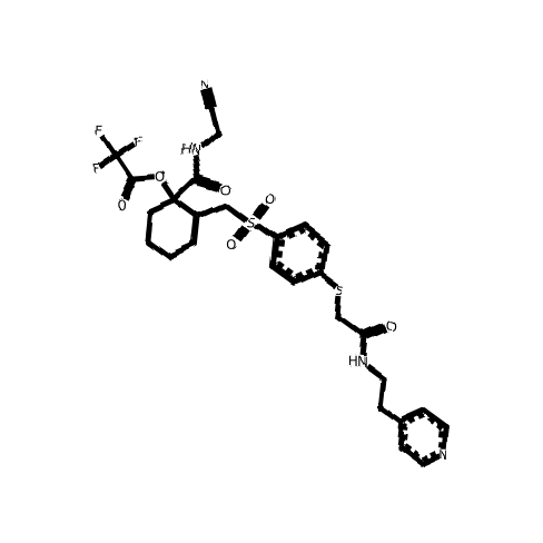 N#CCNC(=O)C1(OC(=O)C(F)(F)F)CCCCC1CS(=O)(=O)c1ccc(SCC(=O)NCCc2ccncc2)cc1